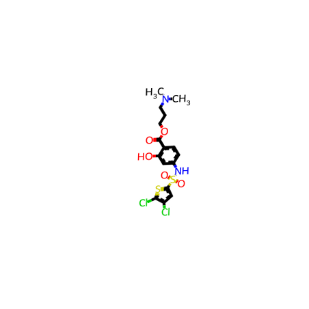 CN(C)CCCOC(=O)c1ccc(NS(=O)(=O)c2cc(Cl)c(Cl)s2)cc1O